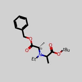 CCN(C(C)C(=O)OC(C)(C)C)[C@@H](C)C(=O)OCc1ccccc1